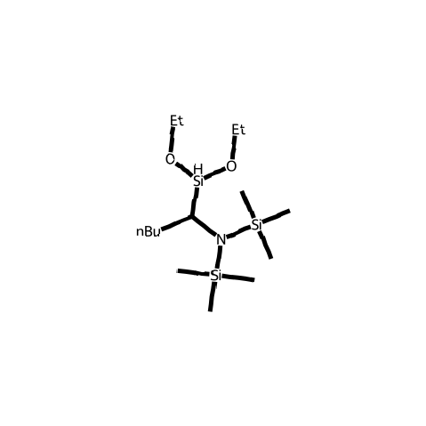 CCCCC(N([Si](C)(C)C)[Si](C)(C)C)[SiH](OCC)OCC